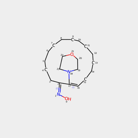 O/N=C1CCCCCCCCCCCCC/C=C/1N1CCOCC1